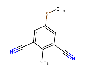 CSc1cc(C#N)c(C)c(C#N)c1